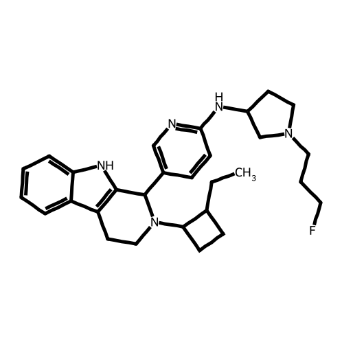 CCC1CCC1N1CCc2c([nH]c3ccccc23)C1c1ccc(NC2CCN(CCCF)C2)nc1